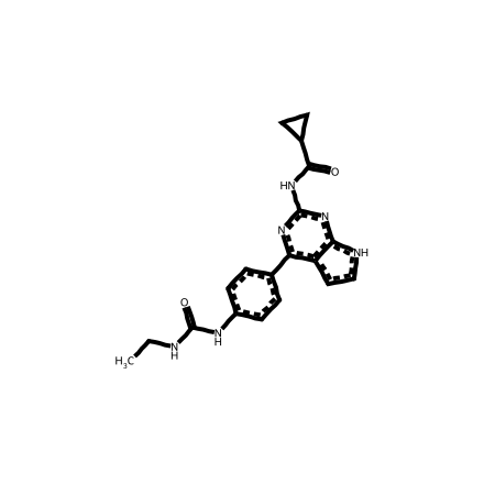 CCNC(=O)Nc1ccc(-c2nc(NC(=O)C3CC3)nc3[nH]ccc23)cc1